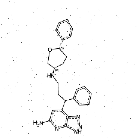 Nc1cc(C(CCN[C@@H]2CC[C@@H](c3ccccc3)OC2)c2ccccc2)c2nn[nH]c2n1